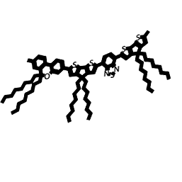 CCCCCCCCC1(CCCCCCCC)Oc2cc(-c3cc4c(s3)-c3sc(-c5ccc(-c6cc7c(s6)-c6sc(C)cc6C7(CCCCCCCC)CCCCCCCC)c6nsnc56)cc3C4(CCCCCCCC)CCCCCCCC)ccc2-c2ccc(C)cc21